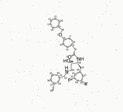 O=C(Cc1ccc(OCc2ccccc2)cc1)N[C@@H](Cc1cc(F)cc(F)c1)[C@@H](O)CNCc1cccc(I)c1